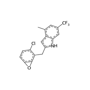 Cc1cc(C(F)(F)F)cc2[nH]c(Cc3c(Cl)ccc4c3O4)cc12